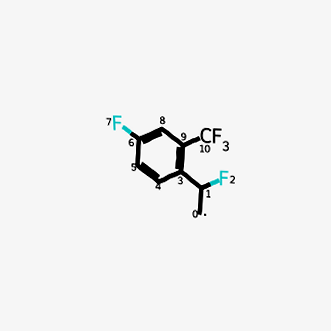 [CH2]C(F)c1ccc(F)cc1C(F)(F)F